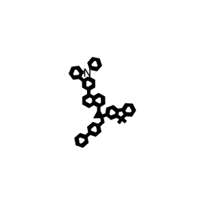 CC1(C)c2ccccc2-c2ccc(C3(Cc4ccc(-c5ccccc5)cc4)CC3c3cccc4c(-c5ccc6c(c5)c5ccccc5n6-c5ccccc5)cccc34)cc21